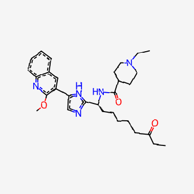 CCC(=O)CCCCC[C@H](NC(=O)C1CCN(CC)CC1)c1ncc(-c2cc3ccccc3nc2OC)[nH]1